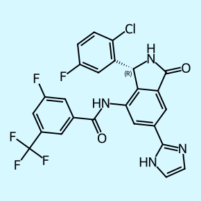 O=C(Nc1cc(-c2ncc[nH]2)cc2c1[C@H](c1cc(F)ccc1Cl)NC2=O)c1cc(F)cc(C(F)(F)F)c1